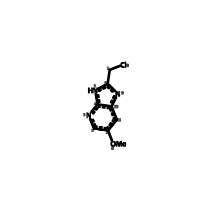 COc1cnc2[nH]c(CCl)nc2c1